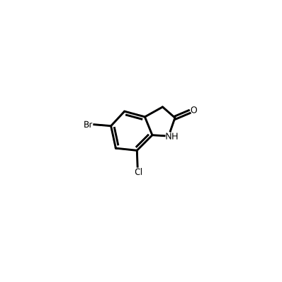 O=C1Cc2cc(Br)cc(Cl)c2N1